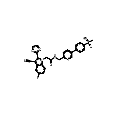 CS(=N)(=O)c1ccc(-c2ccc(CNC(=O)Cn3c(-c4ncco4)c(C#N)c4cc(F)ccc43)nc2)cc1